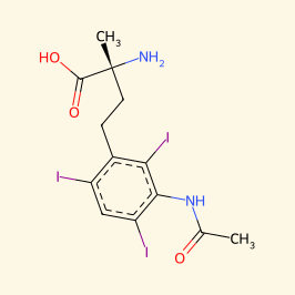 CC(=O)Nc1c(I)cc(I)c(CC[C@@](C)(N)C(=O)O)c1I